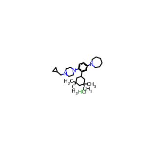 CC1(C)CC(c2cc(N3CCCCCC3)ccc2N2CCN(CC3CC3)CC2)CC(C)(C)C1.Cl